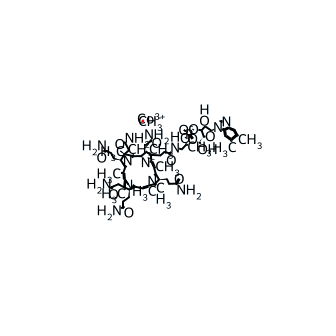 C/C1=C2/[N-]C([C@H](CC(N)=O)[C@@]2(C)CCC(=O)NCC(C)OP(=O)([O-])OC2C(O)[C@@H](n3cnc4cc(C)c(C)cc43)O[C@@H]2CO)[C@]2(C)N=C(/C(C)=C3N=C(/C=C4N=C1[C@@H](CCC(N)=O)C\4(C)C)[C@@H](CCC(N)=O)[C@]\3(C)CC(N)=O)[C@@H](CCC(N)=O)[C@]2(C)CC(N)=O.[CH3-].[Co+3]